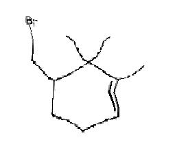 CC1=CCCC(CBr)C1(C)C